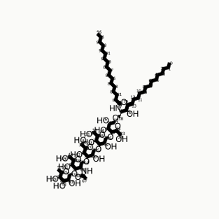 CCCCCCCCCCCCC/C=C/[C@@H](O)[C@H](CO[C@@H]1OC(CO)[C@@H](O[C@@H]2OC(CO)[C@H](O)[C@H](O[C@H]3OC(CO)[C@H](O)[C@H](O[C@@H]4OC(CO)[C@@H](O)[C@H](O[C@H]5OC(C)[C@@H](O)C(O)[C@@H]5O)C4NC(C)=O)C3O)C2O)[C@H](O)C1O)NC(=O)CCCCCCCCCCCCCCCCC